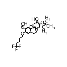 COc1cc2c(cc1OCCCCC(F)(F)F)CCN1C[C@@H](OC(C)(C)C)[C@H](O)C[C@H]21